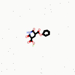 O=C1NC(=O)C(C(=O)Oc2ccccc2)CC1C(=O)OF